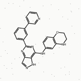 c1cncc(-c2cccc(-c3nc(Nc4ccc5c(c4)NCCO5)c4[nH]ncc4n3)c2)c1